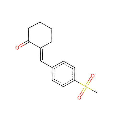 CS(=O)(=O)c1ccc(C=C2CCCCC2=O)cc1